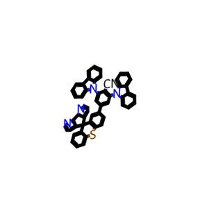 N#Cc1c(-n2c3ccccc3c3ccccc32)cc(-c2ccc3c(c2)C2(c4ccccc4S3)c3cccnc3-c3ncccc32)cc1-n1c2ccccc2c2ccccc21